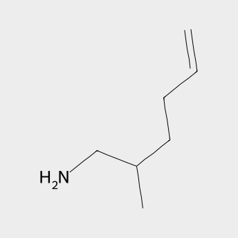 C=CCCC(C)CN